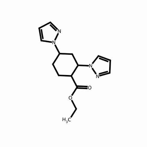 CCOC(=O)C1CCC(n2cccn2)CC1n1cccn1